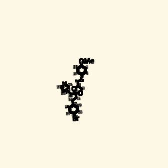 COc1ccc(SCC2COC(CCc3ccc(Br)cc3)(Cn3ccnc3)O2)cc1